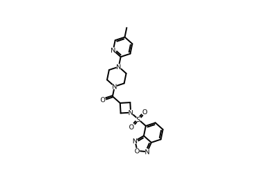 Cc1ccc(N2CCN(C(=O)C3CN(S(=O)(=O)c4cccc5nonc45)C3)CC2)nc1